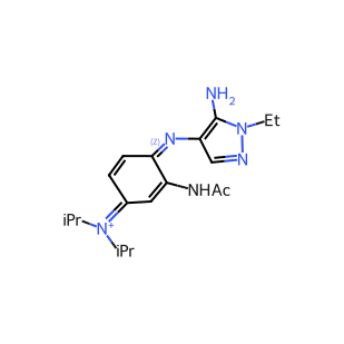 CCn1ncc(/N=C2/C=CC(=[N+](C(C)C)C(C)C)C=C2NC(C)=O)c1N